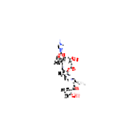 CCC(O)C(C)[C@H]1O[C@@H]1CC(C)/C=C/C=C(\C)[C@H]1OC(=O)C[C@@H](O)CC[C@](C)(OC(=O)N2CCNCC2)[C@@H](OC(C)=O)/C=C/[C@@H]1C